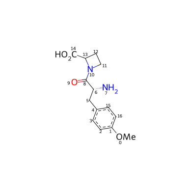 COc1ccc(C[C@@H](N)C(=O)N2CCC2C(=O)O)cc1